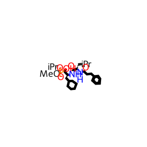 COP(=O)(OC(C)C)C(O)[C@H](CC1CCCCC1)NC(=O)[C@H](CC(C)C)NC(=O)CCc1ccccc1